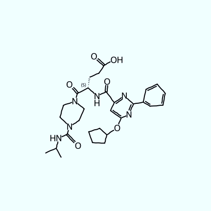 CC(C)NC(=O)N1CCN(C(=O)[C@H](CCC(=O)O)NC(=O)c2cc(OC3CCCC3)nc(-c3ccccc3)n2)CC1